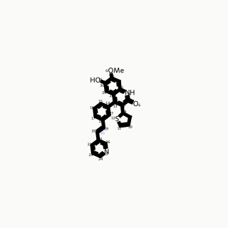 COc1cc2[nH]c(=O)c(C3CC=CS3)c(-c3cccc(/C=C/c4cccnc4)c3)c2cc1O